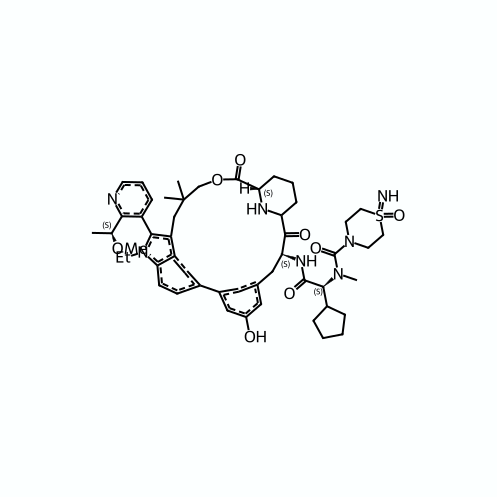 CCn1c(-c2cccnc2[C@H](C)OC)c2c3cc(ccc31)-c1cc(O)cc(c1)C[C@H](NC(=O)[C@H](C1CCCC1)N(C)C(=O)N1CCS(=N)(=O)CC1)C(=O)C1CCC[C@H](N1)C(=O)OCC(C)(C)C2